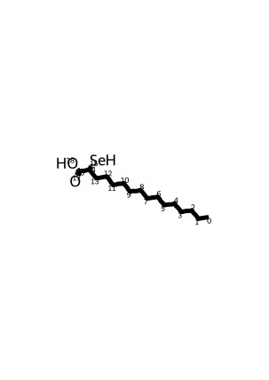 CCCCCCCCCCCCCCC([SeH])C(=O)O